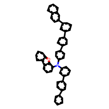 c1ccc(-c2ccc(-c3cccc(N(c4ccc(-c5ccc(-c6cccc(-c7ccc8ccccc8c7)c6)cc5)cc4)c4cccc5c4oc4ccccc45)c3)cc2)cc1